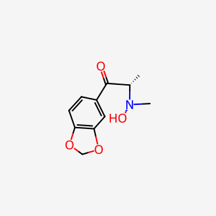 C[C@@H](C(=O)c1ccc2c(c1)OCO2)N(C)O